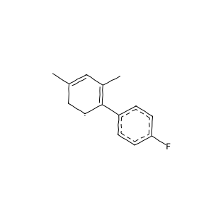 CC1=CC(C)=C(c2ccc(F)cc2)[CH]C1